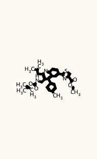 CCOC(=O)c1csc(-c2ccc3nc(CC(C)C)c(CNC(=O)OC(C)(C)C)c(-c4ccc(C)cc4)c3c2)n1